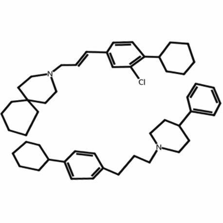 Clc1cc(C=CCN2CCC3(CCCCC3)CC2)ccc1C1CCCCC1.c1ccc(C2CCN(CCCc3ccc(C4CCCCC4)cc3)CC2)cc1